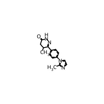 Cc1nccn1-c1ccc(C2=NNC(=O)CC2C)cc1